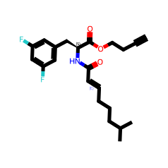 C#CCCOC(=O)[C@H](Cc1cc(F)cc(F)c1)NC(=O)/C=C/CCCC(C)C